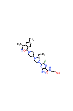 CC[C@H]1CN(c2nc(N)c(C(=O)NCCO)nc2Cl)CCN1C1CCN(C(=O)c2ccc(C)cc2C(C)C#N)CC1